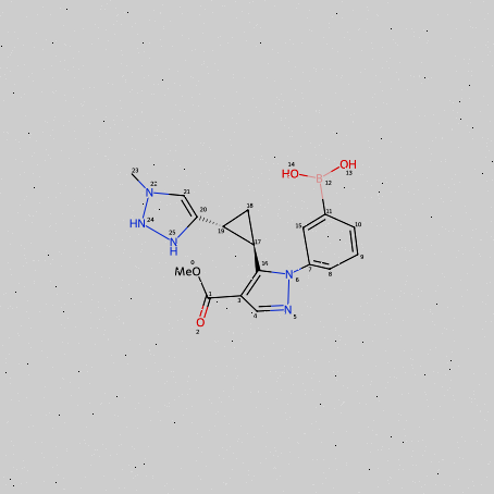 COC(=O)c1cnn(-c2cccc(B(O)O)c2)c1[C@@H]1C[C@H]1C1=CN(C)NN1